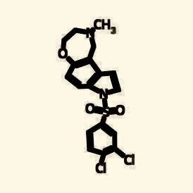 CN1CCOc2ccc3c(ccn3S(=O)(=O)c3ccc(Cl)c(Cl)c3)c2C1